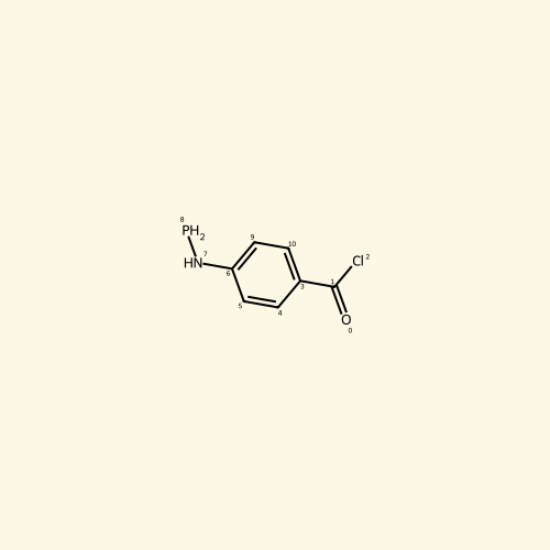 O=C(Cl)c1ccc(NP)cc1